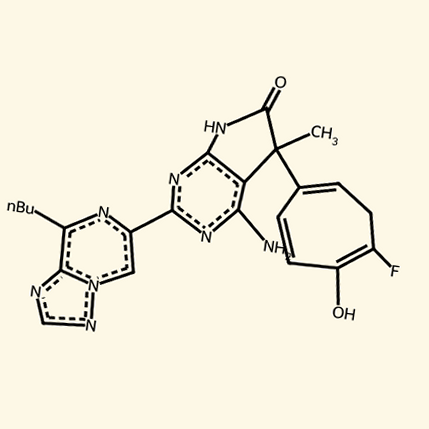 CCCCc1nc(-c2nc(N)c3c(n2)NC(=O)C3(C)C2=CCC(F)=C(O)C=C2)cn2ncnc12